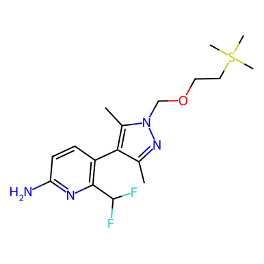 Cc1nn(COCCS(C)(C)C)c(C)c1-c1ccc(N)nc1C(F)F